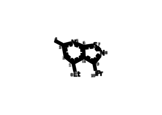 CCc1cc(C)nc2snc(C(C)C)c12